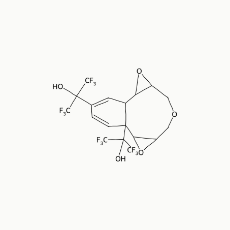 OC(C1=CC2C3OC3COCC3OC3C2(C(O)(C(F)(F)F)C(F)(F)F)C=C1)(C(F)(F)F)C(F)(F)F